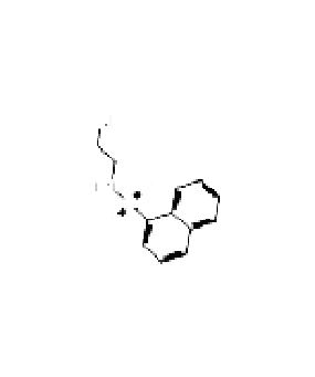 Cl.NCCNS(=O)(=O)c1cccc2ccccc12